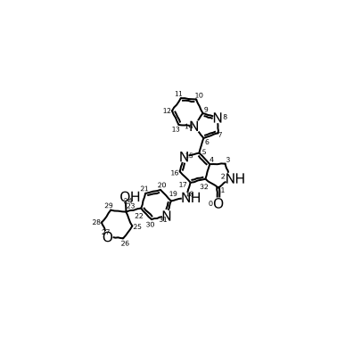 O=C1NCc2c(-c3cnc4ccccn34)ncc(Nc3ccc(C4(O)CCOCC4)cn3)c21